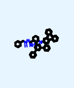 N/C(=N\NCC1=CCCC=C1)C1=c2c(n(-c3ccc4c5ccccc5c5ccccc5c4c3)c3c(-c4ccccc4)cc(-c4ccccc4)cc23)=CCC1